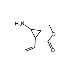 C=CC1CC1N.COC=O